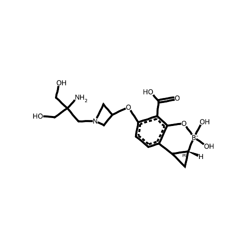 NC(CO)(CO)CN1CC(Oc2ccc3c(c2C(=O)O)O[B-](O)(O)[C@@H]2CC32)C1